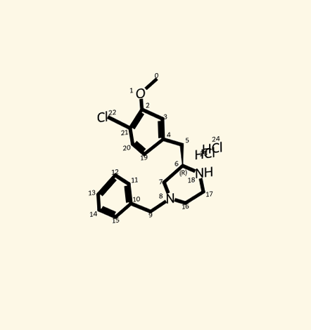 COc1cc(C[C@@H]2CN(Cc3ccccc3)CCN2)ccc1Cl.Cl.Cl